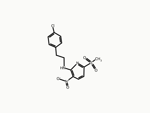 CS(=O)(=O)c1ccc([N+](=O)[O-])c(NCCc2ccc(Cl)cc2)n1